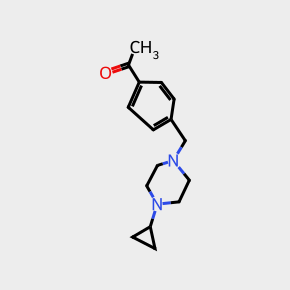 CC(=O)c1ccc(CN2CCN(C3CC3)CC2)cc1